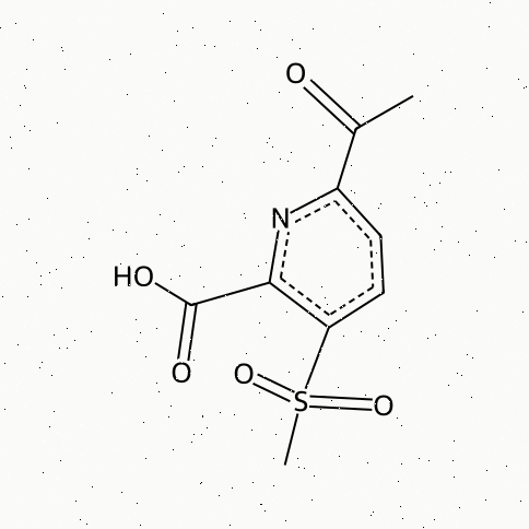 CC(=O)c1ccc(S(C)(=O)=O)c(C(=O)O)n1